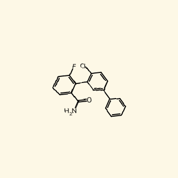 NC(=O)c1cccc(F)c1-c1cc(-c2ccccc2)ccc1Cl